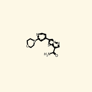 NC(=O)c1cnn2cc(-c3ccnc(N4CCOCC4)c3)sc12